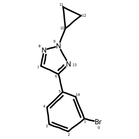 Brc1cccc(-c2cnn(C3CC3)n2)c1